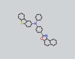 c1ccc(N(c2ccc(-c3nc4c(ccc5ccccc54)o3)cc2)c2ccc3sc4ccccc4c3c2)cc1